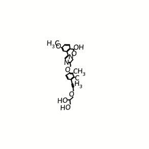 COc1ccc(C(=O)O)c(-c2cnc(COc3ccc(C#CCOCC(O)CO)c(C)c3C)cn2)c1